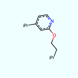 CC(C)CCOc1cc(C(C)C)ccn1